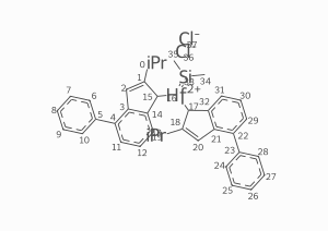 CC(C)C1=Cc2c(-c3ccccc3)cccc2[CH]1[Hf+2]([CH]1C(C(C)C)=Cc2c(-c3ccccc3)cccc21)=[Si](C)C.[Cl-].[Cl-]